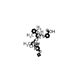 Cc1cccc(C)c1-c1cc(OCC(CC(C)(C)C)NCc2ncc(OC3CCC3)cc2F)nc(NSc2cccc(C(=O)O)c2)n1